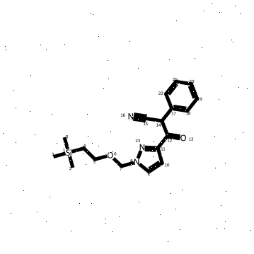 C[Si](C)(C)CCOCn1ccc(C(=O)C(C#N)c2ccccc2)n1